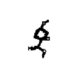 COC(=N)c1ccc(OC)cc1.Cl